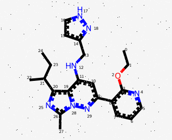 CCOc1ncccc1-c1cc(NCc2cc[nH]n2)c2c(C(C)CC)nc(C)n2n1